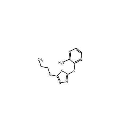 CCCSc1nnc(Sc2nccnc2N)s1